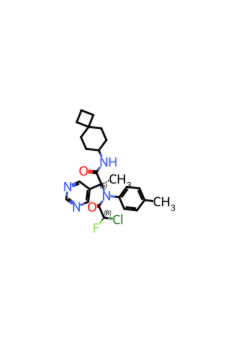 Cc1ccc(N(C(=O)[C@H](F)Cl)[C@](C)(C(=O)NC2CCC3(CCC3)CC2)c2cncnc2)cc1